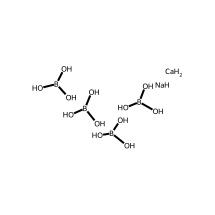 OB(O)O.OB(O)O.OB(O)O.OB(O)O.[CaH2].[NaH]